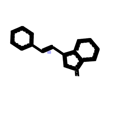 C(=C\c1c[nH]c2ccccc12)/c1ccccc1